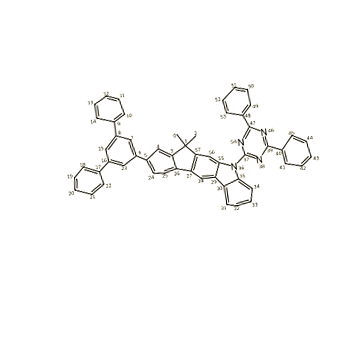 CC1(C)c2cc(-c3cc(-c4ccccc4)cc(-c4ccccc4)c3)ccc2-c2cc3c4ccccc4n(-c4nc(-c5ccccc5)nc(-c5ccccc5)n4)c3cc21